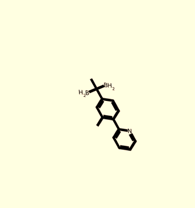 BC(B)(C)c1ccc(-c2ccccn2)c(C)c1